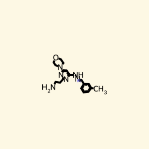 Cc1cccc(/C=N/Nc2cc(N3CCOCC3)nc(CCN)n2)c1